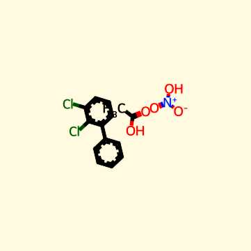 CC(=O)O.Clc1cccc(-c2ccccc2)c1Cl.O=[N+]([O-])O